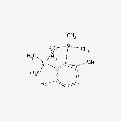 C[Si](C)(C)c1c(O)ccc(S)c1[Si](C)(C)C